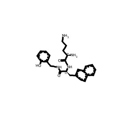 NCCC[C@@H](N)C(=O)N[C@@H](Cc1ccc2ccccc2c1)C(=O)NCc1ccccc1O